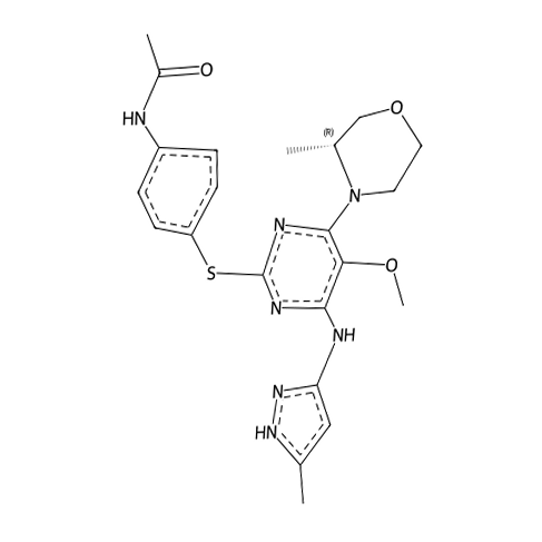 COc1c(Nc2cc(C)[nH]n2)nc(Sc2ccc(NC(C)=O)cc2)nc1N1CCOC[C@H]1C